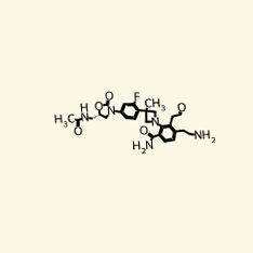 CC(=O)NC[C@H]1CN(c2ccc(C3(C)CN(c4c(C(N)=O)ccc(CCN)c4CC=O)C3)c(F)c2)C(=O)O1